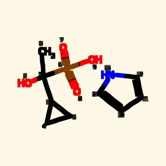 CC(O)(C1CC1)S(=O)(=O)O.c1cc[nH]c1